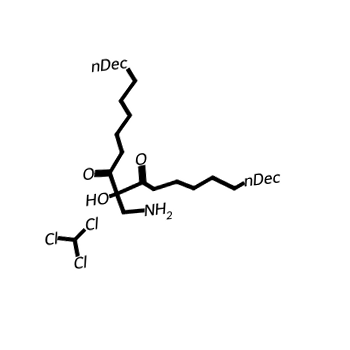 CCCCCCCCCCCCCCCC(=O)C(O)(CN)C(=O)CCCCCCCCCCCCCCC.ClC(Cl)Cl